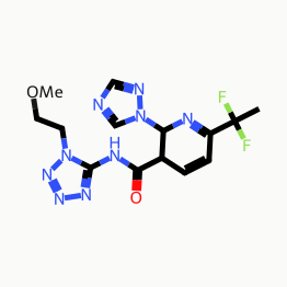 COCCn1nnnc1NC(=O)C1C=CC(C(C)(F)F)=NC1n1cncn1